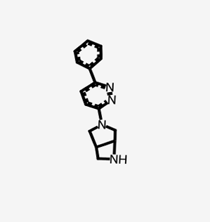 c1ccc(-c2ccc(N3CC4CNC4C3)nn2)cc1